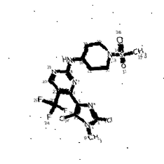 Cn1c(Cl)nc(-c2nc(NC3CCN(S(C)(=O)=O)CC3)ncc2C(F)(F)F)c1Cl